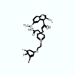 COc1ccc2ncc(C)c(C(O)CCC3(CC(=O)O)CCN(CCOc4cc(F)c(F)c(F)c4)CC3)c2c1